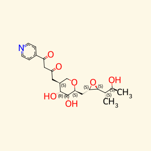 C[C@H]([C@@H]1O[C@H]1C[C@@H]1OC[C@H](CC(=O)CC(=O)c2ccncc2)[C@@H](O)[C@H]1O)[C@H](C)O